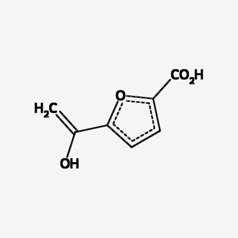 C=C(O)c1ccc(C(=O)O)o1